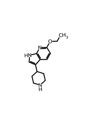 CCOc1ccc2c(C3CCNCC3)c[nH]c2n1